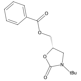 CC(C)(C)N1C[C@@H](COC(=O)c2ccccc2)OC1=O